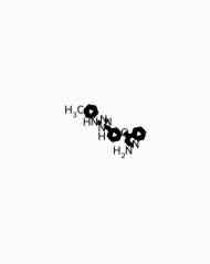 Cc1cccc(Nc2nnc(-c3cccc(Oc4cc(N)nc5ccccc45)c3)[nH]2)c1